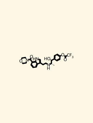 C[C@H](NCCc1c[nH]c2c(C(=O)N3CCOCC3)cccc12)[C@H](O)c1ccc(OC(=O)C(F)(F)F)cc1